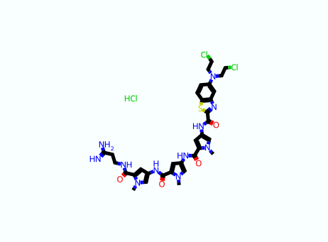 Cl.Cn1cc(NC(=O)c2cc(NC(=O)c3cc(NC(=O)c4nc5cc(N(CCCl)CCCl)ccc5s4)cn3C)cn2C)cc1C(=O)NCCC(=N)N